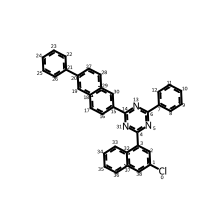 Clc1cc(-c2nc(-c3ccccc3)nc(-c3ccc4cc(-c5ccccc5)ccc4c3)n2)c2ccccc2c1